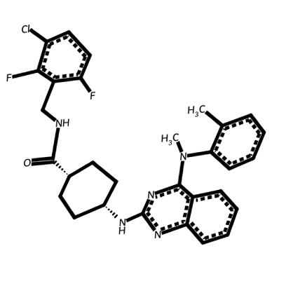 Cc1ccccc1N(C)c1nc(N[C@H]2CC[C@@H](C(=O)NCc3c(F)ccc(Cl)c3F)CC2)nc2ccccc12